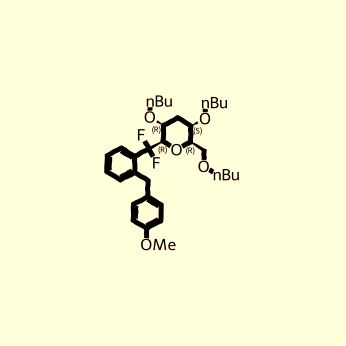 CCCCOC[C@H]1O[C@@H](C(F)(F)c2ccccc2Cc2ccc(OC)cc2)[C@H](OCCCC)C[C@@H]1OCCCC